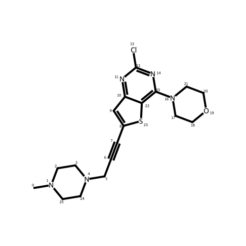 CN1CCN(CC#Cc2cc3nc(Cl)nc(N4CCOCC4)c3s2)CC1